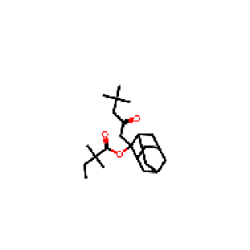 CCC(C)(C)C(=O)OC1(CC(=O)CC(C)(C)C)C2CC3CC(C2)CC1C3